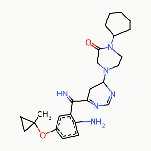 CC1(Oc2ccc(N)c(C(=N)C3=NC=NC(N4CCN(C5CCCCC5)C(=O)C4)C3)c2)CC1